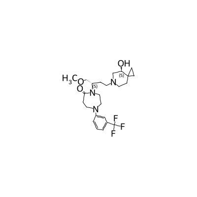 COC[C@H](CCN1CCC2(CC2)[C@H](O)C1)N1CCN(c2cccc(C(F)(F)F)c2)CCC1=O